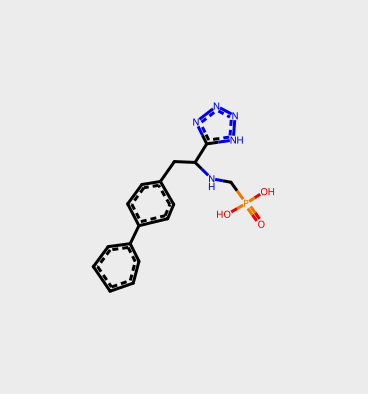 O=P(O)(O)CNC(Cc1ccc(-c2ccccc2)cc1)c1nnn[nH]1